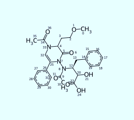 COCCC1C(=O)N(N(C(C)=O)[C@@H](Cc2ccccc2)C(O)C(=O)O)C(c2ccccc2)=CN1C(C)=O